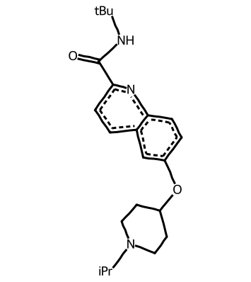 CC(C)N1CCC(Oc2ccc3nc(C(=O)NC(C)(C)C)ccc3c2)CC1